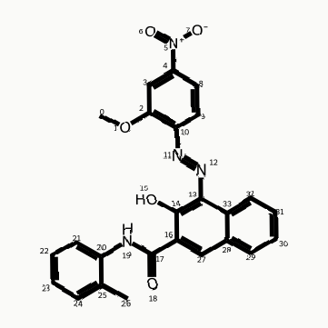 COc1cc([N+](=O)[O-])ccc1/N=N/c1c(O)c(C(=O)Nc2ccccc2C)cc2ccccc12